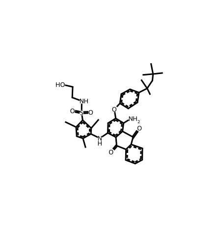 Cc1cc(C)c(S(=O)(=O)NCCO)c(C)c1Nc1cc(Oc2ccc(C(C)(C)CC(C)(C)C)cc2)c(N)c2c1C(=O)c1ccccc1C2=O